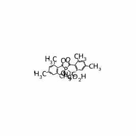 Cc1cc(C)c(C(=O)P(=O)(CC(=O)O)C(=O)c2c(C)cc(C)cc2C)c(C)c1